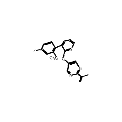 C=C(C)c1ncc(Oc2ncccc2-c2ccc(F)cc2OC)cn1